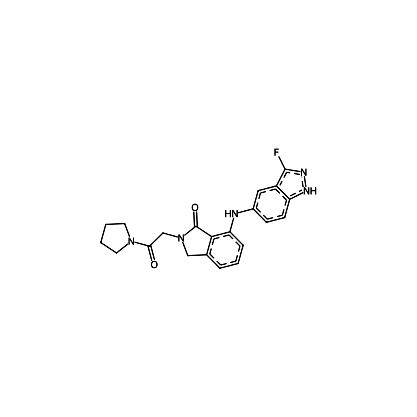 O=C(CN1Cc2cccc(Nc3ccc4[nH]nc(F)c4c3)c2C1=O)N1CCCC1